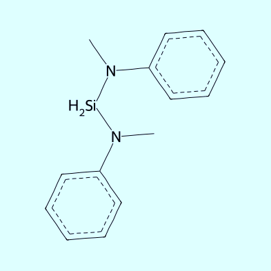 CN([SiH2]N(C)c1ccccc1)c1ccccc1